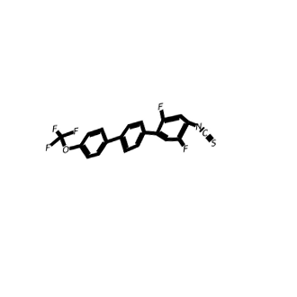 Fc1cc(-c2ccc(-c3ccc(OC(F)(F)F)cc3)cc2)c(F)cc1N=C=S